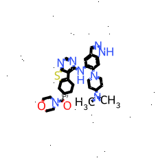 CN(C)C1CCN(c2cc3[nH]ncc3cc2Nc2ncnc3sc4c(c23)CC[C@H](C(=O)N2CCOCC2)C4)CC1